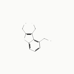 OCc1[nH]c2cccc(CO)c2c1CO